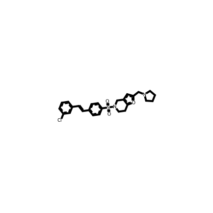 O=S(=O)(c1ccc(C=Cc2cccc(Cl)c2)cc1)N1CCc2oc(CN3CCCC3)cc2C1